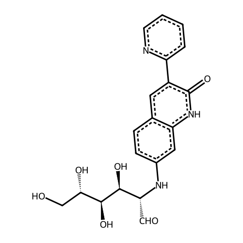 O=C[C@@H](Nc1ccc2cc(-c3ccccn3)c(=O)[nH]c2c1)[C@H](O)[C@@H](O)[C@@H](O)CO